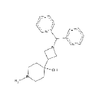 OC1(C2CN(C(c3ccccc3)c3ccccc3)C2)CCN(P)CC1